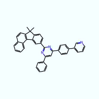 CC1(C)c2ccc(-c3nc(-c4ccccc4)cc(-c4ccc(-c5cccnc5)cc4)n3)cc2-c2c1ccc1ccccc21